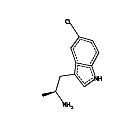 C[C@H](N)Cc1c[nH]c2ccc(Cl)cc12